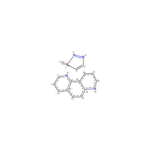 O=C1C=CN=N1.c1cnc2c(c1)ccc1ncccc12